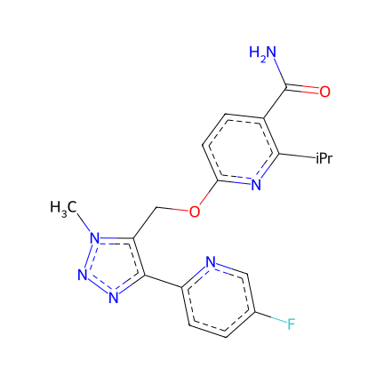 CC(C)c1nc(OCc2c(-c3ccc(F)cn3)nnn2C)ccc1C(N)=O